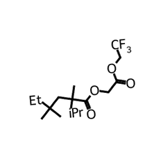 CCC(C)(C)CC(C)(C(=O)OCC(=O)OCC(F)(F)F)C(C)C